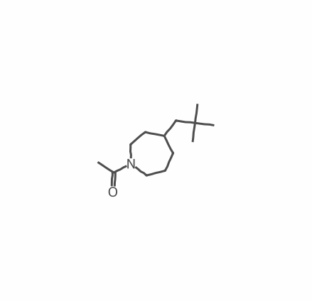 CC(=O)N1CCCC(CC(C)(C)C)CC1